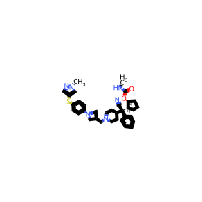 CNC(=O)O[C@H]1CCC[C@@H]1C(C#N)(c1ccccc1)C1CCN(CC2CN(c3ccc(Sc4cnn(C)c4)cc3)C2)CC1